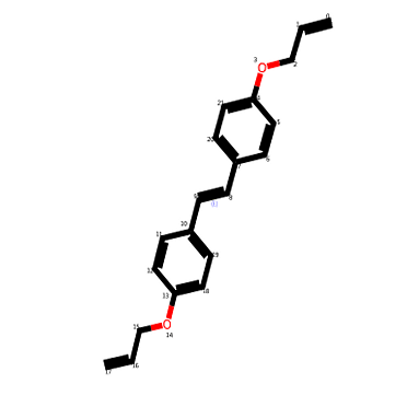 C=CCOc1ccc(/C=C/c2ccc(OCC=C)cc2)cc1